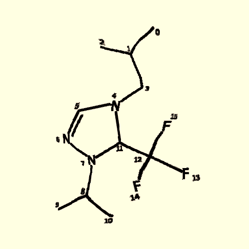 CC(C)CN1C=NN(C(C)C)C1C(F)(F)F